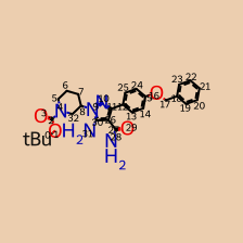 CC(C)(C)OC(=O)N1CCCC(n2nc(-c3ccc(OCc4ccccc4)cc3)c(C(N)=O)c2N)C1